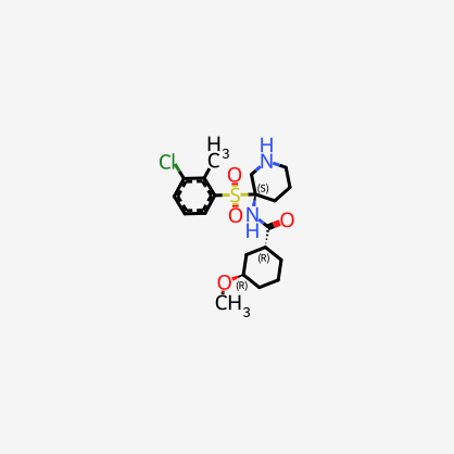 CO[C@@H]1CCC[C@@H](C(=O)N[C@]2(S(=O)(=O)c3cccc(Cl)c3C)CCCNC2)C1